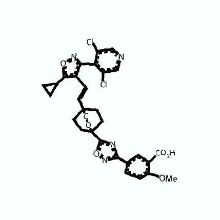 COc1ccc(-c2noc(C34CCC(/C=C/c5c(-c6c(Cl)cncc6Cl)noc5C5CC5)(CC3)CO4)n2)cc1C(=O)O